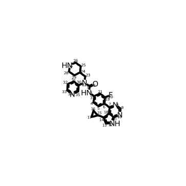 O=C(Nc1ccc(-c2ncnc3[nH]cc(C4CC4)c23)c(F)c1)N(CC1CCNCC1)c1cccnc1